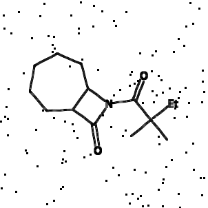 CCC(C)(C)C(=O)N1C(=O)C2CCCCCC21